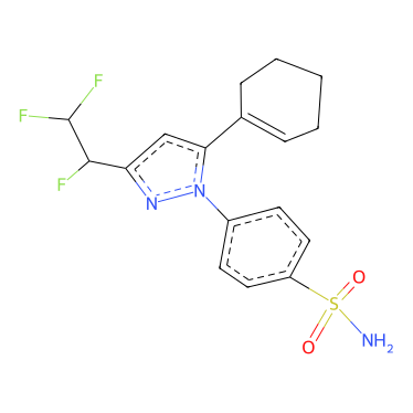 NS(=O)(=O)c1ccc(-n2nc(C(F)C(F)F)cc2C2=CCCCC2)cc1